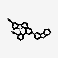 N#Cc1ccc2c(c1)c1ccccc1n2-c1c(C#N)cccc1-c1cccc(-c2ccc3oc4ccccc4c3c2)c1